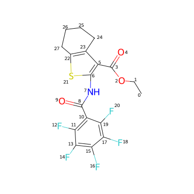 CCOC(=O)c1c(NC(=O)c2c(F)c(F)c(F)c(F)c2F)sc2c1CCCC2